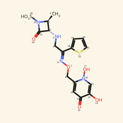 C[C@H]1[C@H](NC/C(=N/OCc2cc(=O)c(O)cn2O)c2cccs2)C(=O)N1S(=O)(=O)O